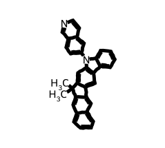 CC1(C)c2cc3ccccc3cc2-c2cc3c4ccccc4n(-c4ccc5cnccc5c4)c3cc21